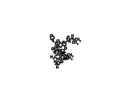 C=C[C@@H]1C[C@]1(NC(=O)[C@@H]1CC(Oc2cc(-c3coc(NC(C)C)n3)nc3c(Cl)c(OCCN4CCOCC4)ccc23)CN1C(=O)[C@@H](NC(O)O[C@@H]1C[C@@H]2C[C@@H]2C1)C(C)(C)C)C(=O)O